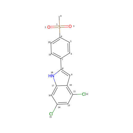 CS(=O)(=O)c1ccc(-c2cc3c(Cl)cc(Cl)cc3[nH]2)cc1